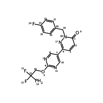 O=c1ccc(-c2cnc(OCC(F)(F)P)nc2)nn1Cc1ccc(F)cc1